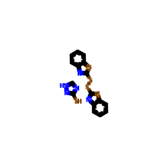 Sc1nc[nH]n1.c1ccc2sc(SSc3nc4ccccc4s3)nc2c1